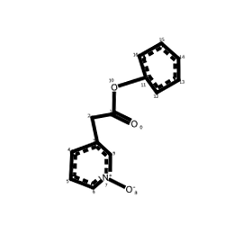 O=C(Cc1ccc[n+]([O-])c1)Oc1ccccc1